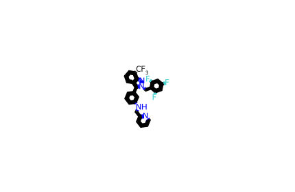 Fc1cc(F)c(Cn2nc3c(C(F)(F)F)cccc3c2-c2cccc(NCc3ccccn3)c2)c(F)c1